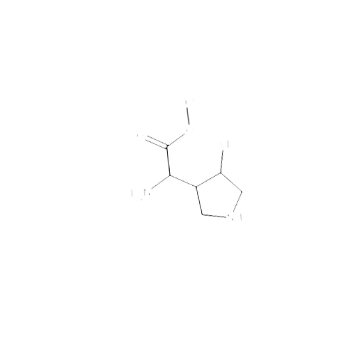 CC(C)(C)OC(=O)C(N)C1CNCC1C(F)(F)F